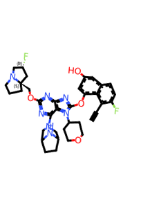 C#Cc1c(F)ccc2cc(O)cc(Oc3nc4nc(OC[C@@]56CCCN5C[C@H](F)C6)nc(N5CC6CCC(C5)N6)c4n3C3CCOCC3)c12